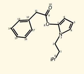 CC(C)CCn1cccc1OC(=O)Cc1ccccc1